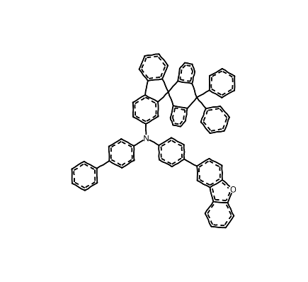 c1ccc(-c2ccc(N(c3ccc(-c4ccc5oc6ccccc6c5c4)cc3)c3ccc4c(c3)C3(c5ccccc5-4)c4ccccc4C(c4ccccc4)(c4ccccc4)c4ccccc43)cc2)cc1